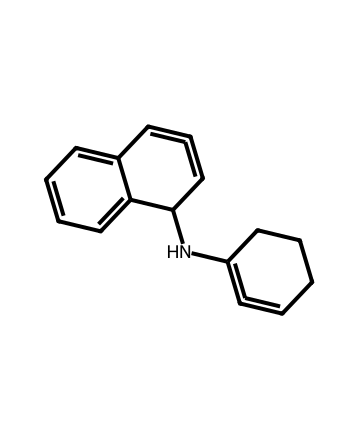 C1=Cc2ccccc2C(NC2=C=CCCC2)C=1